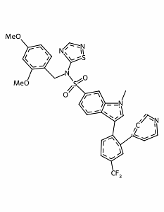 COc1ccc(CN(c2ncns2)S(=O)(=O)c2ccc3c(-c4ccc(C(F)(F)F)cc4-c4ccncc4)cn(C)c3c2)c(OC)c1